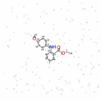 CCOC(=O)c1ccccc1Nc1ccc(OC)cc1